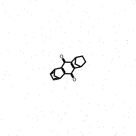 O=C1C2=C(C(=O)C3=C1C1CCC3C1)C1=CC=C2C1